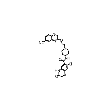 N#Cc1ccc2ncc(OCCN3CCC(NC(=O)c4cc5c(cc4Cl)SCC(=O)N5)CC3)nc2c1